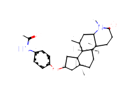 CC(=O)Nc1ccc(OC2C[C@H]3[C@@H]4C(C)CC5N(C)C(=O)CC[C@]5(C)[C@@H]4CC[C@]3(C)C2)cc1